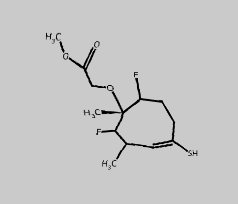 COC(=O)CO[C@]1(C)C(F)CC/C(S)=C\C(C)C1F